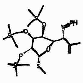 C=C(C)[C@@H](N=P)[C@H]1O[C@H](SC)[C@H](O[Si](C)(C)C)[C@@H](O[Si](C)(C)C)[C@H]1O[Si](C)(C)C